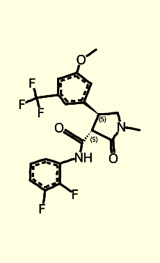 COc1cc([C@H]2CN(C)C(=O)[C@@H]2C(=O)Nc2cccc(F)c2F)cc(C(F)(F)F)c1